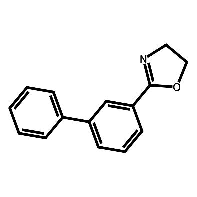 c1ccc(-c2cccc(C3=NCCO3)c2)cc1